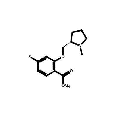 COC(=O)c1ccc(F)cc1OC[C@@H]1CCCN1C